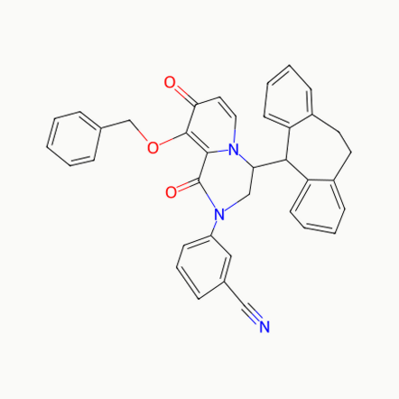 N#Cc1cccc(N2CC(C3c4ccccc4CCc4ccccc43)n3ccc(=O)c(OCc4ccccc4)c3C2=O)c1